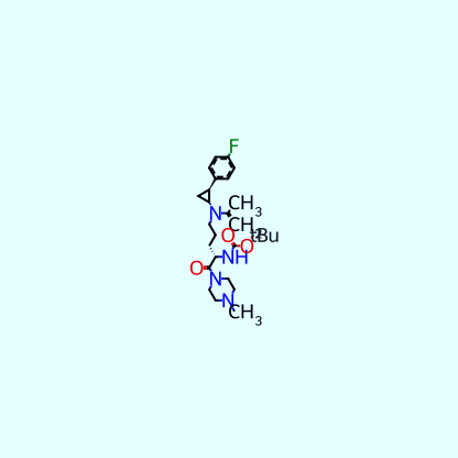 C=C(C)N(CCC[C@H](NC(=O)OC(C)(C)C)C(=O)N1CCN(C)CC1)[C@@H]1C[C@H]1c1ccc(F)cc1